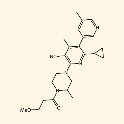 COCCC(=O)N1CCN(c2nc(C3CC3)c(-c3cncc(C)c3)c(C)c2C#N)CC1C